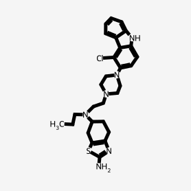 CCCN(CCN1CCN(c2ccc3[nH]c4ccccc4c3c2Cl)CC1)C1CCc2nc(N)sc2C1